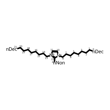 CCCCCCCCCCCCCCCCCCn1cc[n+](CCCCCCCCCCCCCCCCCC)c1CCCCCCCCC